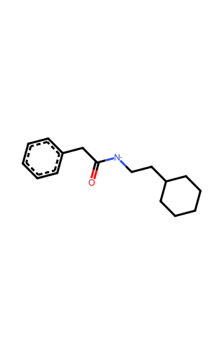 O=C(Cc1ccccc1)[N]CCC1CCCCC1